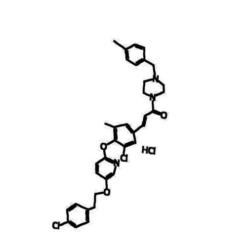 Cc1ccc(CN2CCN(C(=O)/C=C/c3cc(C)c(Oc4ccc(OCCc5ccc(Cl)cc5)cn4)c(Cl)c3)CC2)cc1.Cl